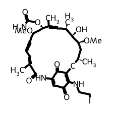 CO[C@H]1/C=C\C=C(/C)C(=O)NC2=CC(=O)C(NCCI)=C(C[C@@H](C)C[C@H](OC)[C@H](O)[C@@H](C)/C=C(\C)[C@@H]1OC(N)=O)C2=O